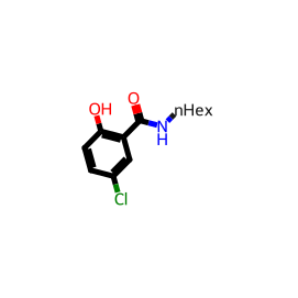 CCCCCCNC(=O)c1cc(Cl)ccc1O